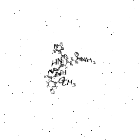 COc1cc(Cl)ccc1-c1cnc([C@H](CCCCCC(N)=O)NC(=O)c2cncs2)[nH]1